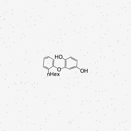 CCCCCCc1ccccc1Oc1cc(O)ccc1O